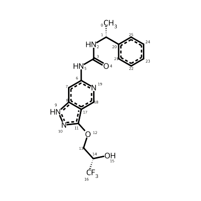 C[C@@H](NC(=O)Nc1cc2[nH]nc(OC[C@H](O)C(F)(F)F)c2cn1)c1ccccc1